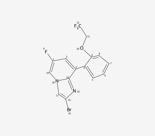 Fc1cc(-c2ccccc2OCC(F)(F)F)c2nc(Br)cn2c1